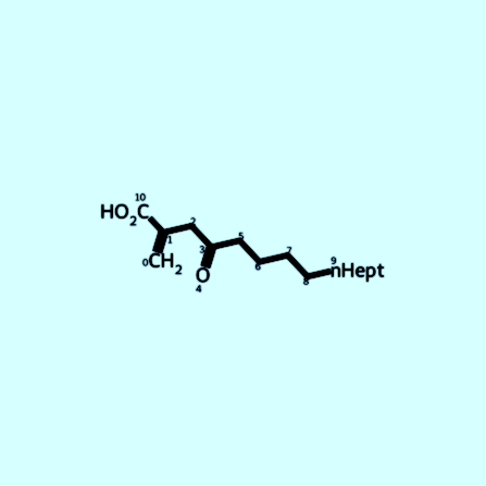 C=C(CC(=O)CCCCCCCCCCC)C(=O)O